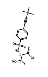 C[C@@H](O)[C@H](NS(=O)(=O)c1ccc(C#C[Si](C)(C)C)cc1)C(=O)O